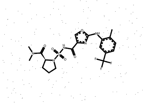 Cc1ccc(C(F)(F)F)cc1Nc1nc(C(=O)NS(=O)(=O)N2CCC[C@H]2C(=O)N(C)C)co1